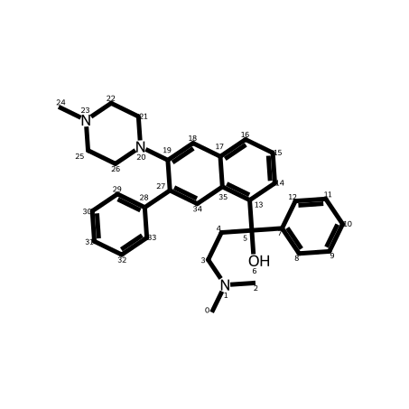 CN(C)CCC(O)(c1ccccc1)c1cccc2cc(N3CCN(C)CC3)c(-c3ccccc3)cc12